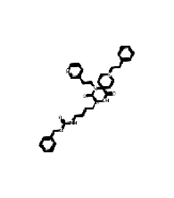 O=C(NCCCC[C@@H]1NC(=O)C2(CCN(CCc3ccccc3)CC2)N(CCc2cccnc2)C1=O)OCc1ccccc1